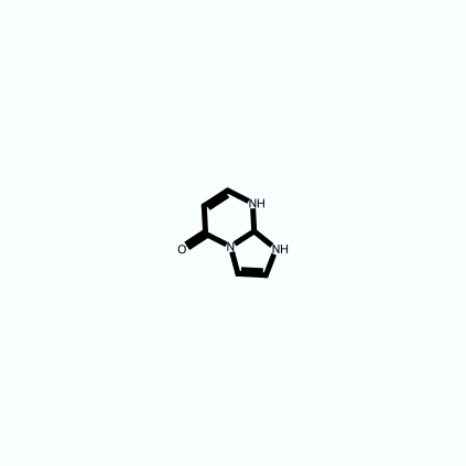 O=C1C=CNC2NC=CN12